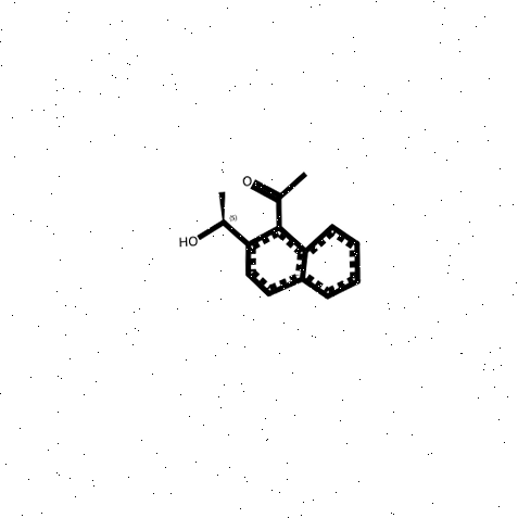 CC(=O)c1c([C@H](C)O)ccc2ccccc12